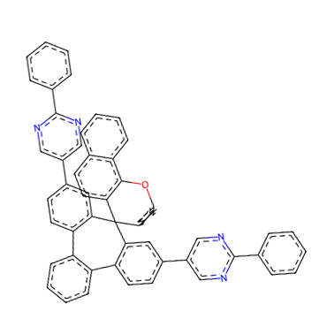 c1ccc(-c2ncc(-c3ccc4c(c3)C3(c5ccccc5Oc5c3ccc3ccccc53)c3cc(-c5cnc(-c6ccccc6)nc5)ccc3-c3ccccc3-4)cn2)cc1